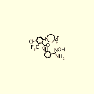 NC(=NO)c1cccc(NC(=O)c2c(N3CCCC(F)(F)CC3)ccc(Cl)c2C(F)(F)F)c1